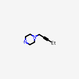 CCC#CCN1CC[N]CC1